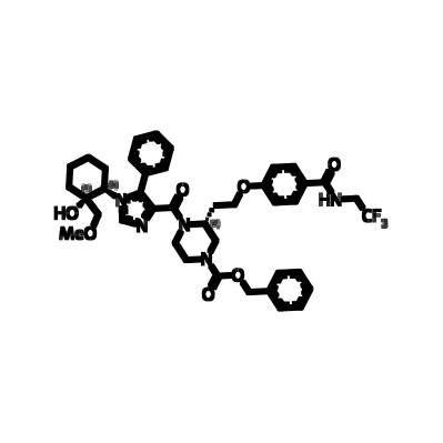 COC[C@]1(O)CCCC[C@H]1n1cnc(C(=O)N2CCN(C(=O)OCc3ccccc3)C[C@H]2CCOc2ccc(C(=O)NCC(F)(F)F)cc2)c1-c1ccccc1